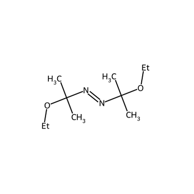 CCOC(C)(C)N=NC(C)(C)OCC